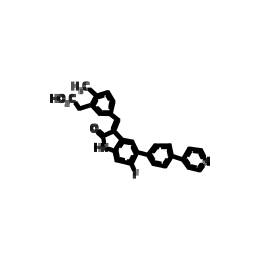 Cc1ccc(C=C2C(=O)Nc3cc(F)c(-c4ccc(-c5ccncc5)cc4)cc32)cc1CC(=O)O